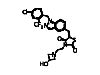 O=C1SC(=Cc2ccc3c(cnn3Cc3ccc(Cl)cc3C(F)(F)F)c2)C(=O)N1CCN1CC(O)C1